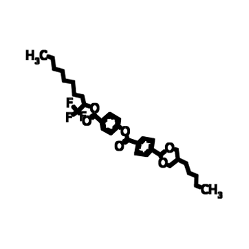 CCCCCCCCC(OC(=O)c1ccc(OC(=O)c2ccc(C3OCC(CCCCC)CO3)cc2)cc1)C(F)(F)F